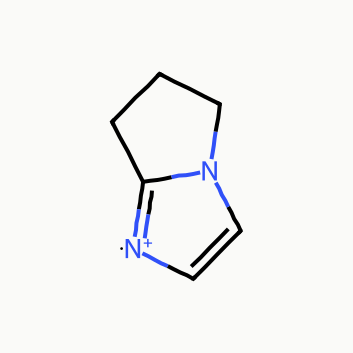 C1=CN2CCCC2=[N+]1